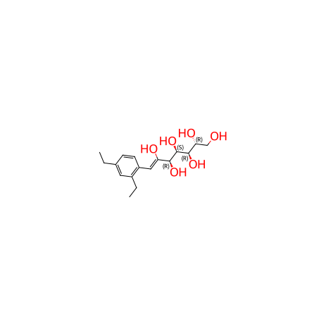 CCc1ccc(C=C(O)[C@H](O)[C@@H](O)[C@H](O)[C@H](O)CO)c(CC)c1